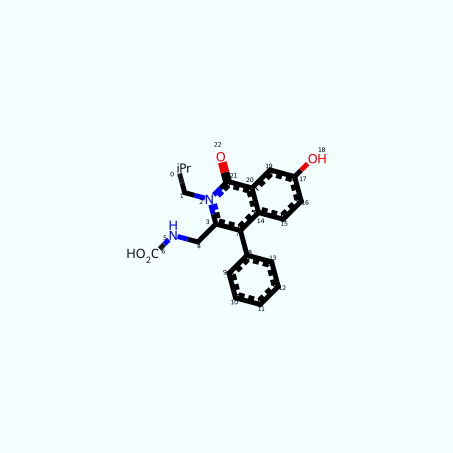 CC(C)Cn1c(CNC(=O)O)c(-c2ccccc2)c2ccc(O)cc2c1=O